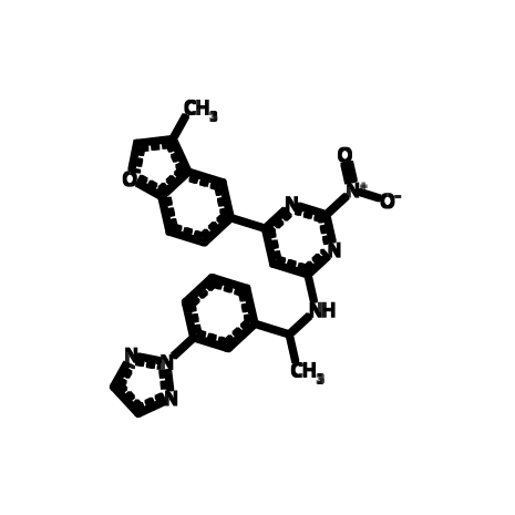 Cc1coc2ccc(-c3cc(NC(C)c4cccc(-n5nccn5)c4)nc([N+](=O)[O-])n3)cc12